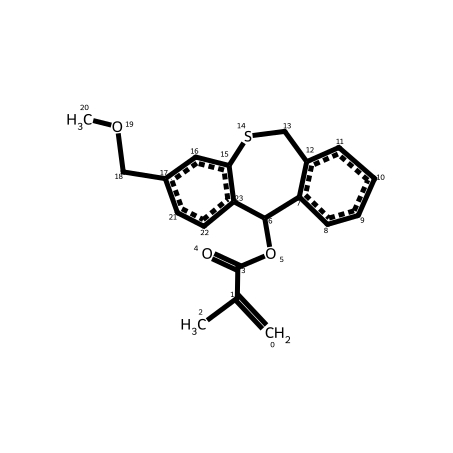 C=C(C)C(=O)OC1c2ccccc2CSc2cc(COC)ccc21